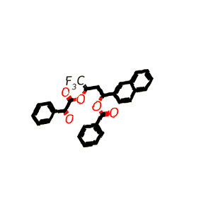 O=C(OC(CC(OC(=O)c1ccccc1)c1ccc2ccccc2c1)C(F)(F)F)C(=O)c1ccccc1